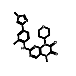 Cc1cc(-c2cn(C)cn2)ccc1Nc1ncc2c(n1)n(C1CCOCC1)c(=O)c(=O)n2C